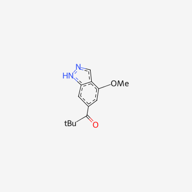 COc1cc(C(=O)C(C)(C)C)cc2[nH]ncc12